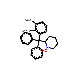 COc1cccc(C(c2ccccc2)(c2ccccc2)C2CCCCN2O)c1OC